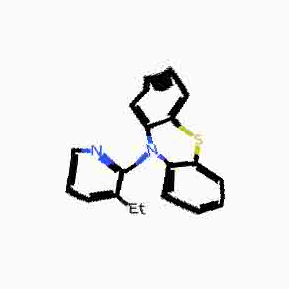 CCc1cccnc1N1c2ccccc2Sc2ccccc21